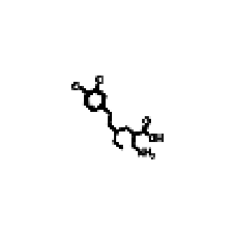 CCC(CCc1ccc(Cl)c(Cl)c1)CC(CN)C(=O)O